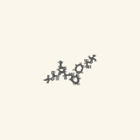 CC(C)(C)OC(=O)Nc1sc(Br)nc1C(=O)Nc1cnccc1N1CCC[C@H](NC(=O)OC(C)(C)C)C1